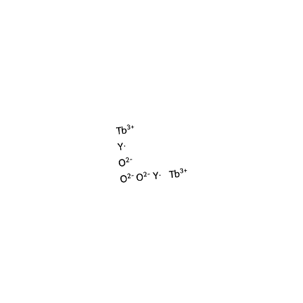 [O-2].[O-2].[O-2].[Tb+3].[Tb+3].[Y].[Y]